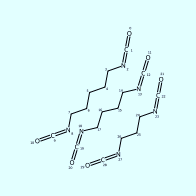 O=C=NCCCCCN=C=O.O=C=NCCCCN=C=O.O=C=NCCCN=C=O